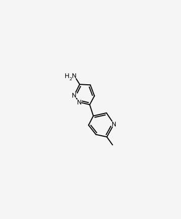 Cc1ccc(-c2ccc(N)nn2)cn1